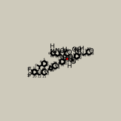 CC(C)c1ccccc1[C@H]1C[C@H](Cc2ccc(F)c(F)c2)CCN1C1CC2(CCN(c3ccc(C(=O)NS(=O)(=O)c4ccc(NCC5CCOCC5)c([N+](=O)[O-])c4)c(N4c5cc6cc[nH]c6nc5O[C@H]5COCC[C@@H]54)c3)CC2)C1